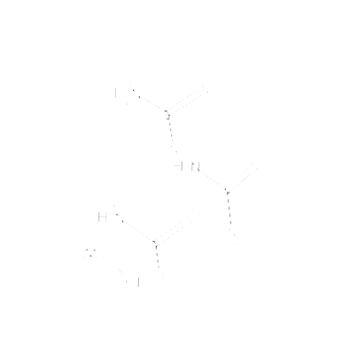 NC(=S)[S-].NC(=S)[S-].NC(=S)[S-].[OH][Mo+3]